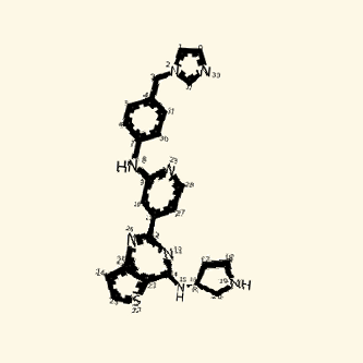 c1cn(Cc2ccc(Nc3cc(-c4nc(N[C@@H]5CCNC5)c5sccc5n4)ccn3)cc2)cn1